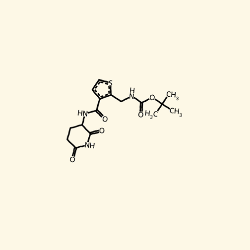 CC(C)(C)OC(=O)NCc1sccc1C(=O)NC1CCC(=O)NC1=O